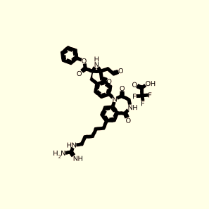 N=C(N)NCCCCCc1ccc2c(c1)C(=O)NCC(=O)N2c1ccc(C[C@@]2(C(=O)Oc3ccccc3)NC2(C=O)CC=O)cc1.O=C(O)C(F)(F)F